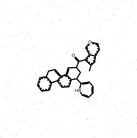 Cc1cc2ccocc-2c1C(=O)C1C=c2c(ccc3c2=CCc2ccccc2-3)C(C2=CC=CC=CN2)C1